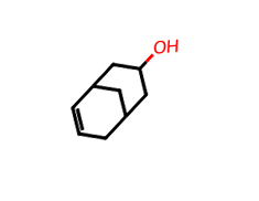 OC1CC2C=CCC(C1)C2